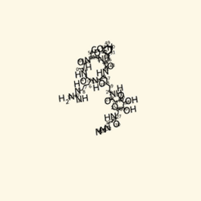 C[C@@H]1NC(=O)[C@H](CCCNC(=N)N)NC(=O)[C@H](CCCCNC(=O)C2O[C@H](CNC(=O)CN=[N+]=[N-])C(O)C(O)[C@@H]2O)NC(=O)[C@@H](Cc2ccccc2)NC(=O)[C@H](CC(=O)O)NC1=O